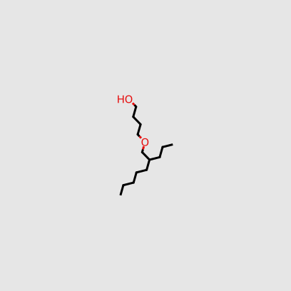 CCCCCC(CCC)COCCCCO